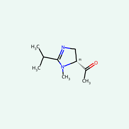 CC(=O)[C@H]1CN=C(C(C)C)N1C